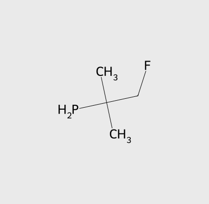 CC(C)(P)CF